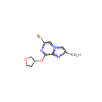 O=C(O)c1cn2cc(Br)nc(OC3CCOC3)c2n1